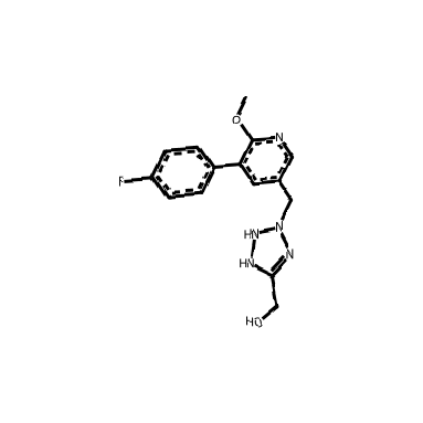 COc1ncc(CN2N=C(CO)NN2)cc1-c1ccc(F)cc1